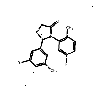 Cc1cc(Br)cc(C2SCC(=O)N2c2cc(F)ccc2C)c1